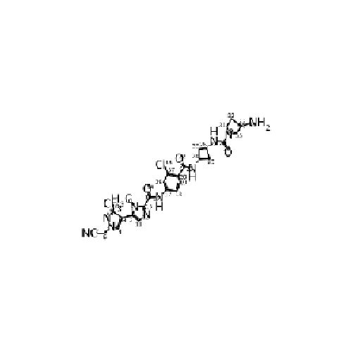 Cn1c(-c2cn(CC#N)nc2C(F)(F)F)cnc1C(=O)Nc1ccc(C(=O)N[C@H]2C[C@@H](NC(=O)N3CC[C@@H](N)C3)C2)c(Cl)c1